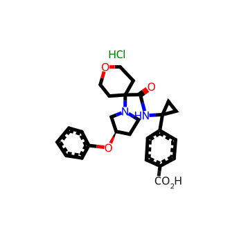 Cl.O=C(O)c1ccc(C2(NC(=O)C3(N4CC[C@@H](Oc5ccccc5)C4)CCOCC3)CC2)cc1